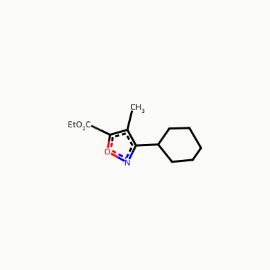 CCOC(=O)c1onc(C2CCCCC2)c1C